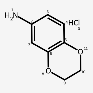 Cl.Nc1ccc2c(c1)OCCO2